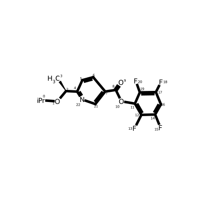 CC(C)O[C@@H](C)c1ccc(C(=O)Oc2c(F)c(F)cc(F)c2F)cn1